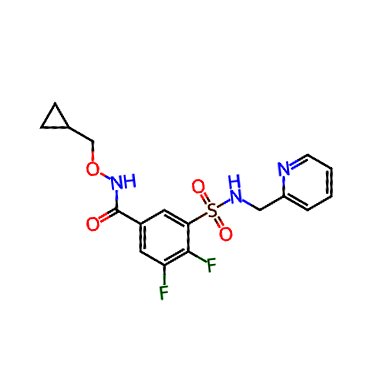 O=C(NOCC1CC1)c1cc(F)c(F)c(S(=O)(=O)NCc2ccccn2)c1